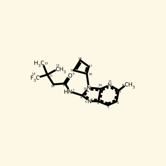 Cc1ccc2nc(NC(=O)CC(C)(C)C(F)(F)F)n(C3=CC=C3)c2n1